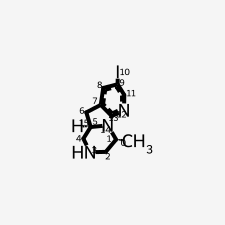 C[C@@H]1CNC[C@H]2Cc3cc(I)cnc3N21